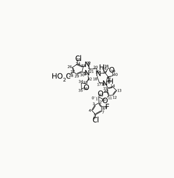 C[C@@]1(c2ccc(Cl)cc2F)Oc2cccc(N3CCN(Cc4nc5c(Cl)cc(C(=O)O)cc5n4C[C@@H]4CCO4)[C@@H]4COC[C@@H]43)c2O1